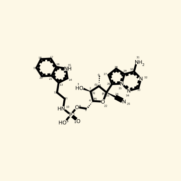 C[C@H]1[C@H](O)[C@@H](COP(=O)(O)NCCc2c[nH]c3ccccc23)O[C@@]1(C#N)c1ccc2c(N)ncnn12